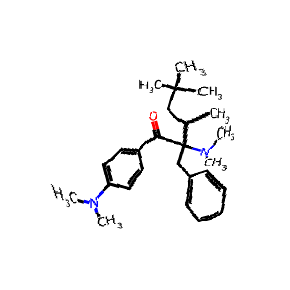 CC(CC(C)(C)C)C(Cc1ccccc1)(C(=O)c1ccc(N(C)C)cc1)N(C)C